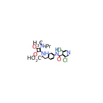 CC(C)N(C)c1c(N[C@@H](Cc2ccc(NC(=O)c3c(Cl)cncc3Cl)cc2)C(=O)O)c(=O)c1=O